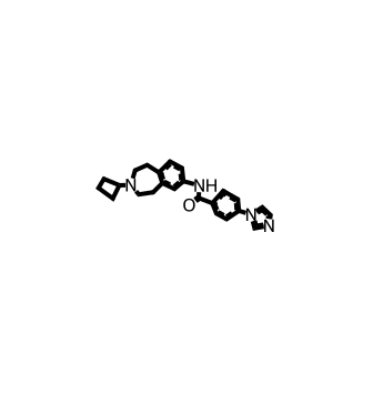 O=C(Nc1ccc2c(c1)CCN(C1CCC1)CC2)c1ccc(-n2ccnc2)cc1